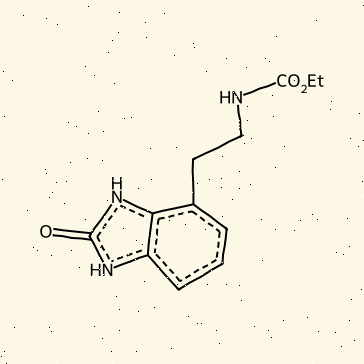 CCOC(=O)NCCc1cccc2[nH]c(=O)[nH]c12